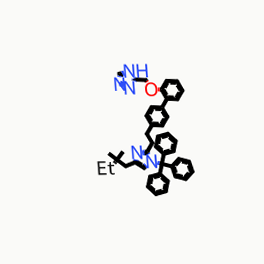 CCC(C)(C)Cc1cn(C(c2ccccc2)(c2ccccc2)c2ccccc2)c(CCc2ccc(-c3ccccc3OCc3nnc[nH]3)cc2)n1